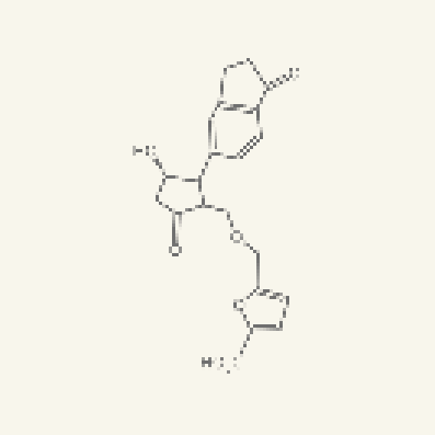 O=C(O)c1ccc(COCC2C(=O)C[C@@H](O)C2c2ccc3c(c2)CCC3=O)o1